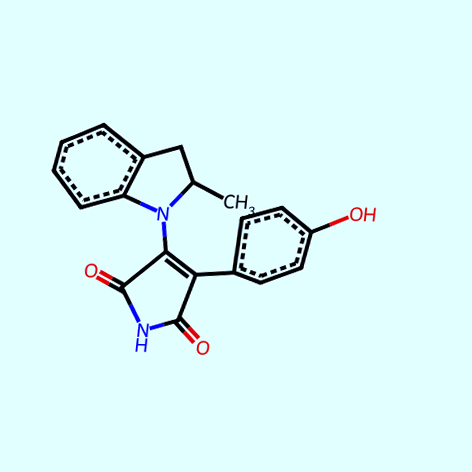 CC1Cc2ccccc2N1C1=C(c2ccc(O)cc2)C(=O)NC1=O